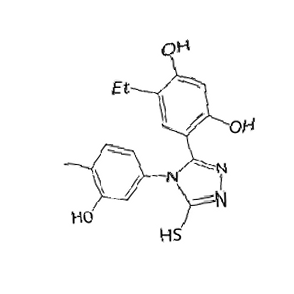 CCc1cc(-c2nnc(S)n2-c2ccc(C)c(O)c2)c(O)cc1O